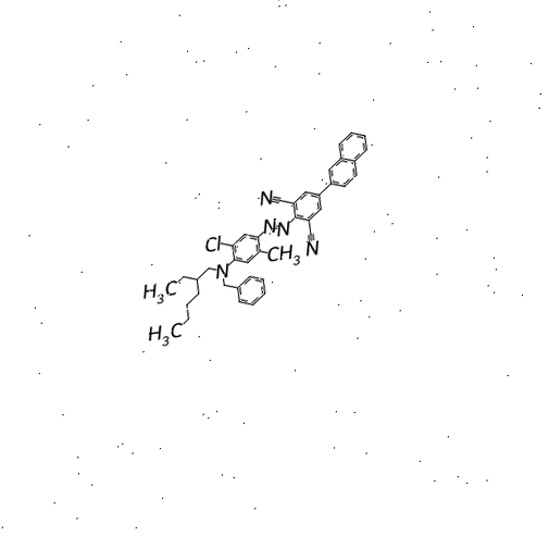 CCCCC(CC)CN(Cc1ccccc1)c1cc(C)c(N=Nc2c(C#N)cc(-c3ccc4ccccc4c3)cc2C#N)cc1Cl